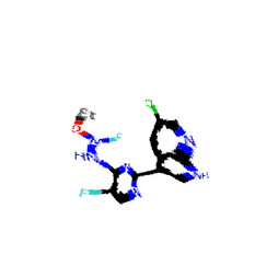 CCON(F)Nc1nc(-c2c[nH]c3ncc(Cl)cc23)ncc1F